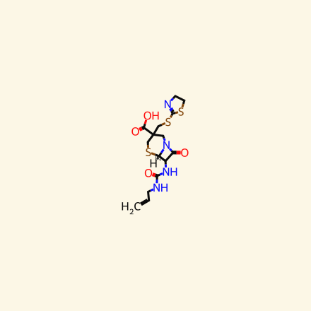 C=CCNC(=O)NC1C(=O)N2CC(CSC3=NCCS3)(C(=O)O)CS[C@H]12